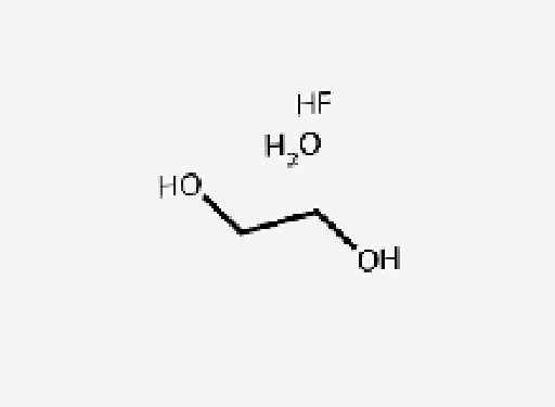 F.O.OCCO